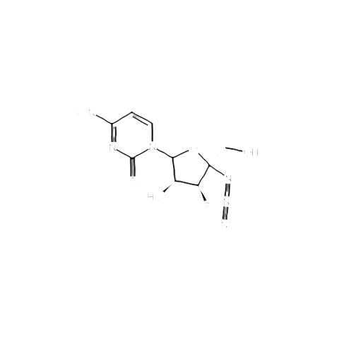 [N-]=[N+]=N[C@]1(CO)OC(n2ccc(N)nc2=O)[C@H](O)[C@@H]1F